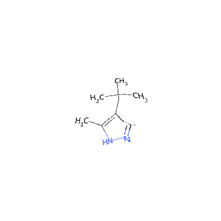 Cc1[nH]n[c]c1C(C)(C)C